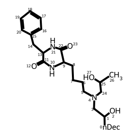 CCCCCCCCCCC(O)CN(CCCCC1NC(=O)C(Cc2ccccc2)NC1=O)CC(C)O